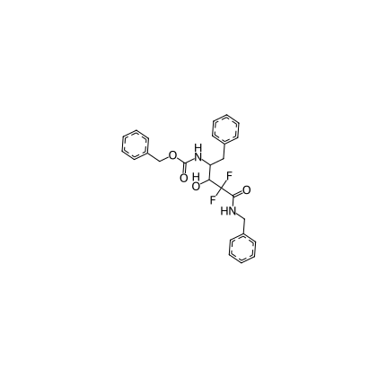 O=C(NC(Cc1ccccc1)C(O)C(F)(F)C(=O)NCc1ccccc1)OCc1ccccc1